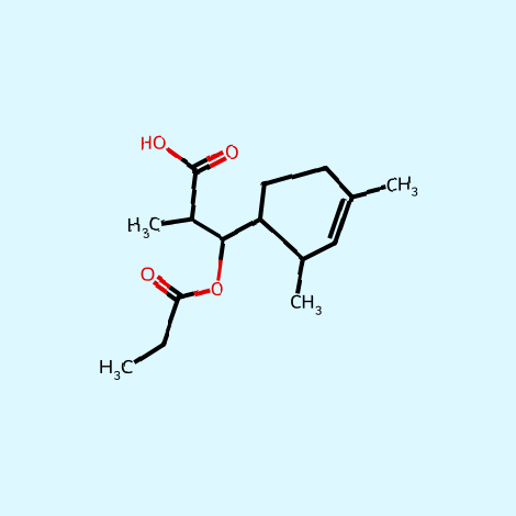 CCC(=O)OC(C(C)C(=O)O)C1CCC(C)=CC1C